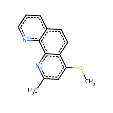 CSc1cc(C)nc2c1ccc1cccnc12